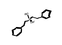 O[Si](O)(CCc1ccccc1)CCc1ccccc1